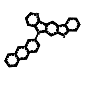 c1ccc2cc3cc(-n4c5cc6sc7ccccc7c6cc5c5ncccc54)ccc3cc2c1